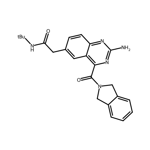 CC(C)(C)NC(=O)Cc1ccc2nc(N)nc(C(=O)N3Cc4ccccc4C3)c2c1